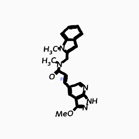 COc1n[nH]c2ncc(/C=C/C(=O)N(C)Cc3cc4ccccc4n3C)cc12